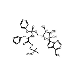 COC(C)(C)COC(=O)[C@H](Cc1ccccc1)NP(=O)(OC[C@H]1O[C@@](C#N)(c2ccc3c(N)ncnn23)[C@H](O)[C@@H]1O)Oc1ccccc1